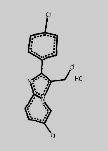 Cl.ClCc1c(-c2ccc(Cl)cc2)nc2ccc(Cl)cn12